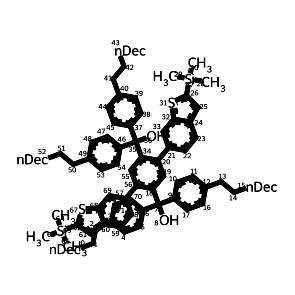 CCCCCCCCCCCCc1ccc(C(O)(c2ccc(CCCCCCCCCCCC)cc2)c2cc(-c3ccc4cc([Si](C)(C)C)sc4c3)c(C(O)(c3ccc(CCCCCCCCCCCC)cc3)c3ccc(CCCCCCCCCCCC)cc3)cc2-c2ccc3cc([Si](C)(C)C)sc3c2)cc1